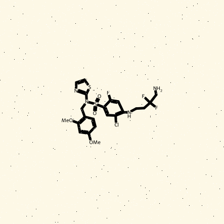 COc1ccc(CN(c2nccs2)S(=O)(=O)c2cc(Cl)c(NCCC(F)(F)CN)cc2F)c(OC)c1